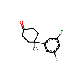 N#CC1(c2cc(F)cc(F)c2)CCC(=O)CC1